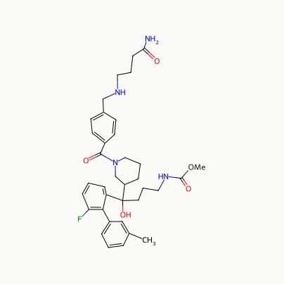 COC(=O)NCCCC(O)(c1cccc(F)c1-c1cccc(C)c1)C1CCCN(C(=O)c2ccc(CNCCCC(N)=O)cc2)C1